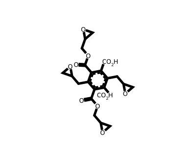 O=C(O)c1c(CC2CO2)c(C(=O)O)c(C(=O)OCC2CO2)c(CC2CO2)c1C(=O)OCC1CO1